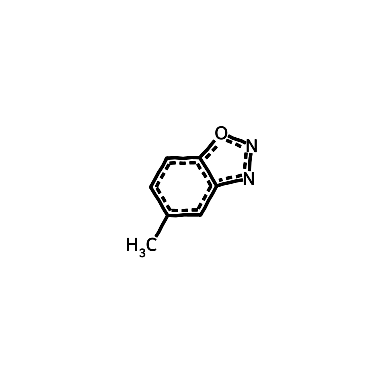 Cc1ccc2onnc2c1